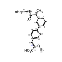 CCCCCCCNC(=O)N(C)c1cccc(-c2ccc(/C=C(\OCC)C(=O)O)cn2)c1